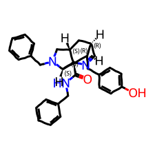 O=C(NCc1ccccc1)[C@]12N=C[C@@H]3C[C@H]1CN(Cc1ccccc1)[C@H]2[C@@H]3Cc1ccc(O)cc1